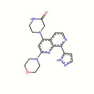 O=C1CN(c2cc(N3CCOCC3)nc3c(-c4ccn[nH]4)nccc23)CCN1